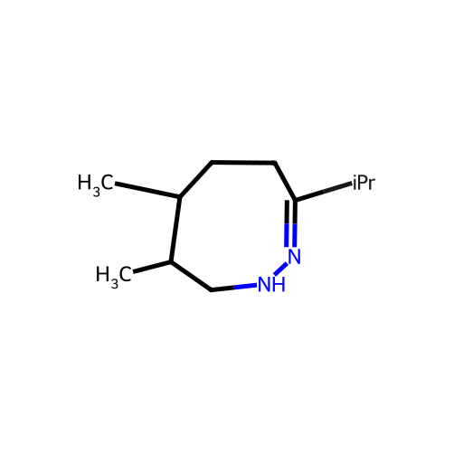 CC(C)/C1=N/NCC(C)C(C)CC1